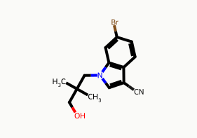 CC(C)(CO)Cn1cc(C#N)c2ccc(Br)cc21